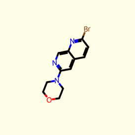 Brc1ccc2cc(N3CCOCC3)ncc2n1